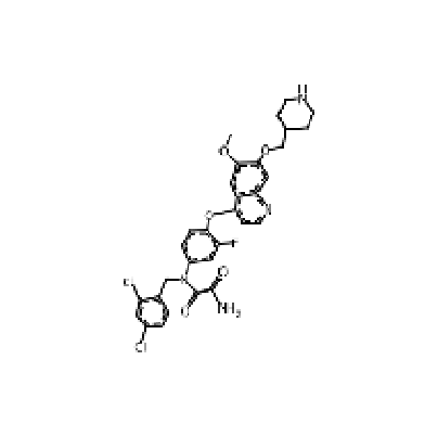 COc1cc2c(Oc3ccc(N(Cc4ccc(Cl)cc4Cl)C(=O)C(N)=O)cc3F)ccnc2cc1OCC1CCNCC1